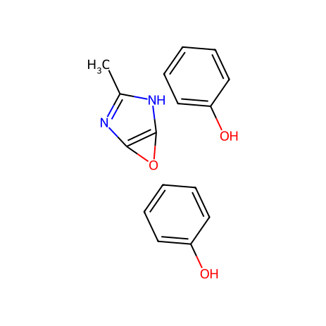 Cc1nc2c([nH]1)O2.Oc1ccccc1.Oc1ccccc1